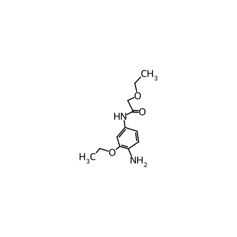 CCOCC(=O)Nc1ccc(N)c(OCC)c1